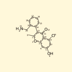 Cc1oc2cc(O)cc(Cl)c2c(=O)c1-c1ccccc1CN